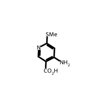 CSc1cc(N)c(C(=O)O)cn1